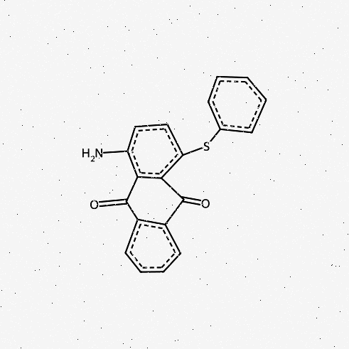 Nc1ccc(Sc2ccccc2)c2c1C(=O)c1ccccc1C2=O